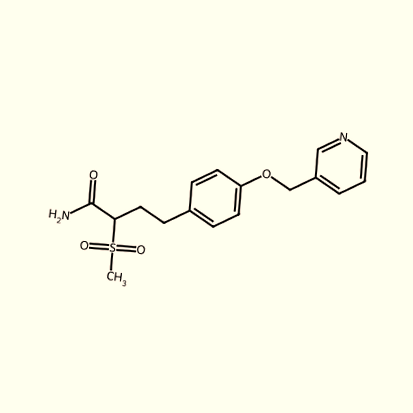 CS(=O)(=O)C(CCc1ccc(OCc2cccnc2)cc1)C(N)=O